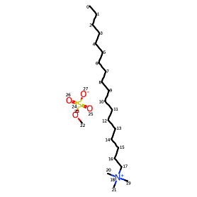 CCCCCCCCCCCCCCCCCC[N+](C)(C)C.COS(=O)(=O)[O-]